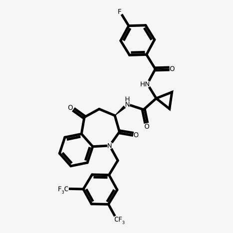 O=C(NC1(C(=O)N[C@@H]2CC(=O)c3ccccc3N(Cc3cc(C(F)(F)F)cc(C(F)(F)F)c3)C2=O)CC1)c1ccc(F)cc1